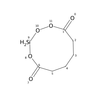 O=C1CCCCC(=O)O[SiH2]OO1